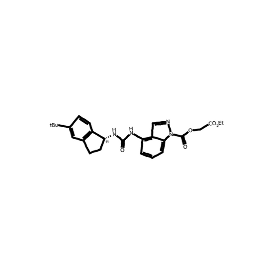 CCOC(=O)COC(=O)n1ncc2c(NC(=O)N[C@@H]3CCc4cc(C(C)(C)C)ccc43)cccc21